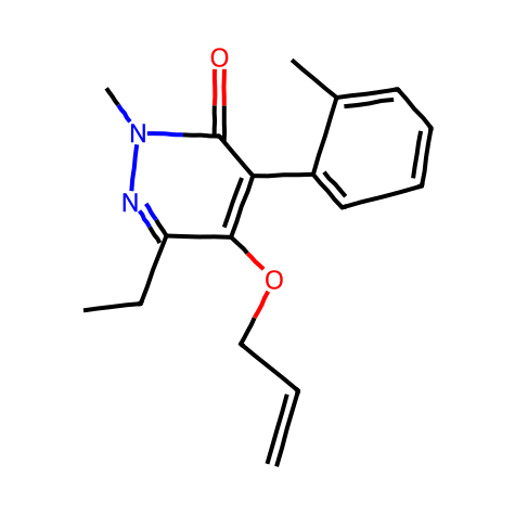 C=CCOc1c(CC)nn(C)c(=O)c1-c1ccccc1C